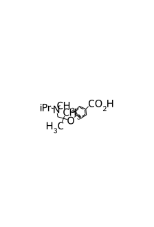 CC(C)N(C)CC(C)(C)Oc1ccc(C(=O)O)cc1